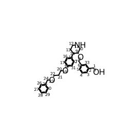 OCc1cccc(COC2CNCCC2c2ccc(OCCCOCc3ccccc3)cc2)c1